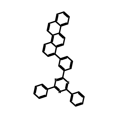 c1ccc(-c2nc(-c3ccccc3)nc(-c3cccc(-c4cccc5c4ccc4c6ccccc6ccc54)c3)n2)cc1